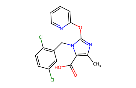 Cc1nc(Oc2ccccn2)n(Cc2cc(Cl)ccc2Cl)c1C(=O)O